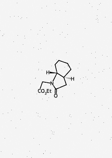 CCOC(=O)CN1C(=O)C[C@@H]2CCCC[C@H]21